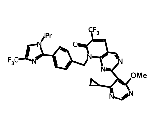 COc1ncnc(C2CC2)c1-c1ncc2cc(C(F)(F)F)c(=O)n(Cc3ccc(-c4nc(C(F)(F)F)cn4C(C)C)cc3)c2n1